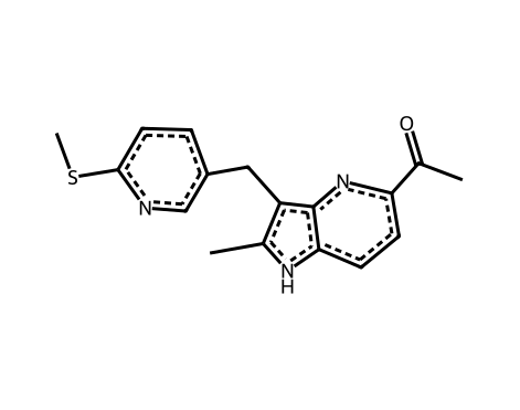 CSc1ccc(Cc2c(C)[nH]c3ccc(C(C)=O)nc23)cn1